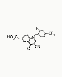 N#Cc1cn(Cc2ccc(C(F)(F)F)cc2F)c2ccc(CC(=O)O)cc2c1=O